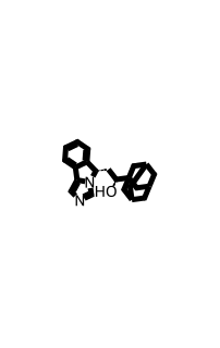 O[C@H](C[C@H]1c2ccccc2-c2cncn21)C12CC3CC(CC(C3)C1)C2